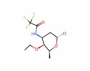 CCO[C@H]1[C@@H](NC(=O)C(F)(F)F)C[C@H](Cl)O[C@H]1C